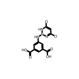 O=C(O)c1cc(NN2N=C(Cl)C=C(Cl)N2)cc(C(=O)O)c1